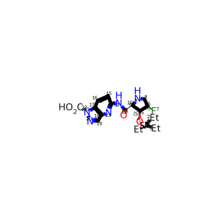 CC[Si](CC)(CC)O[C@@H]1[C@@H](F)CN[C@H]1C(=O)Nc1ccc2c(cnn2C(=O)O)n1